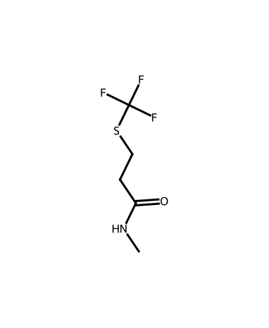 CNC(=O)CCSC(F)(F)F